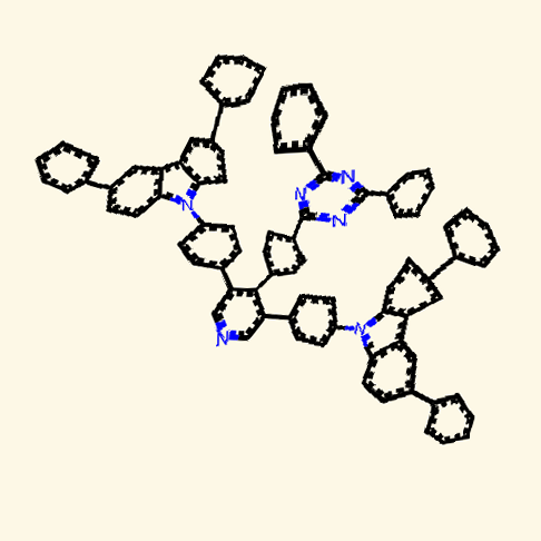 c1ccc(-c2ccc3c(c2)c2cc(-c4ccccc4)ccc2n3-c2ccc(-c3cncc(-c4ccc(-n5c6ccc(-c7ccccc7)cc6c6cc(-c7ccccc7)ccc65)cc4)c3-c3ccc(-c4nc(-c5ccccc5)nc(-c5ccccc5)n4)cc3)cc2)cc1